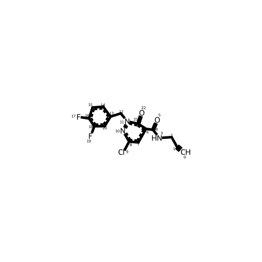 C#CCNC(=O)c1cc(Cl)nn(Cc2ccc(F)c(F)c2)c1=O